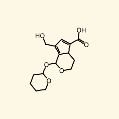 O=C(O)C1=CC(CO)=C2C(OC3CCCCO3)OCCC12